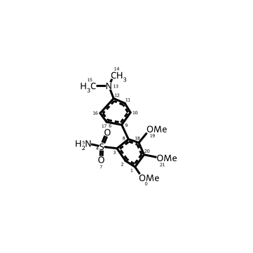 COc1cc(S(N)(=O)=O)c(-c2ccc(N(C)C)cc2)c(OC)c1OC